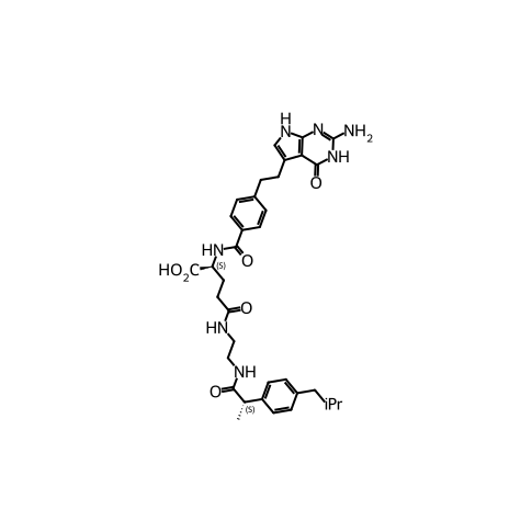 CC(C)Cc1ccc([C@H](C)C(=O)NCCNC(=O)CC[C@H](NC(=O)c2ccc(CCc3c[nH]c4nc(N)[nH]c(=O)c34)cc2)C(=O)O)cc1